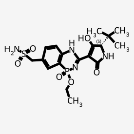 CCOP1(=O)N=C(C2=C(O)[C@H](C(C)(C)C)NC2=O)Nc2ccc(CS(N)(=O)=O)cc21